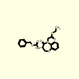 CCOC(=O)CN1C(=O)[C@@H](NC(=O)OCc2ccccc2)CSc2ccccc21